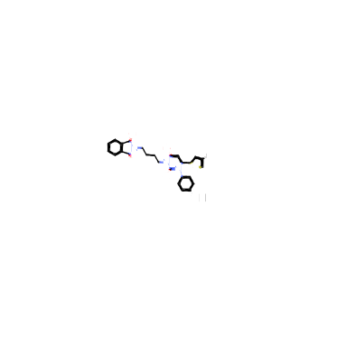 Cc1ccc(-n2c(-c3cc(C)cs3)cc(=O)n(CCCCN3C(=O)c4ccccc4C3=O)c2=O)cc1